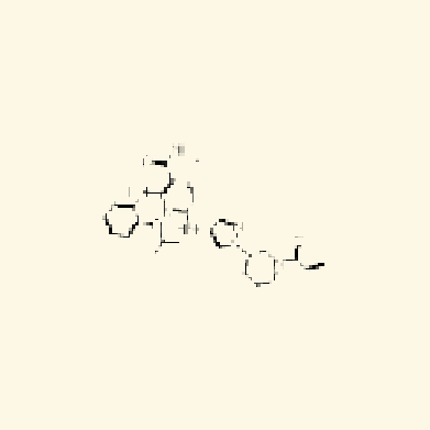 C=CC(=O)N1CCCC(n2cc(Nc3ncc(C(N)=O)c(Nc4ccccc4OC(C)C)n3)cn2)C1